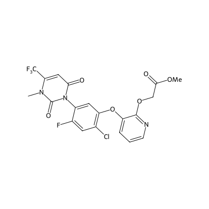 COC(=O)COc1ncccc1Oc1cc(-n2c(=O)cc(C(F)(F)F)n(C)c2=O)c(F)cc1Cl